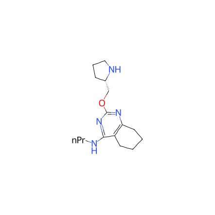 CCCNc1nc(OC[C@@H]2CCCN2)nc2c1CCCC2